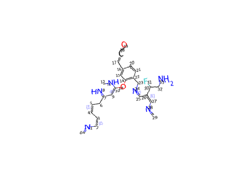 C=N/C=C\C=C/CC(=N)/C=C(\NC)Oc1cc(C=C=O)ccc1C/N=C\C(=C/N=C)C(F)CN